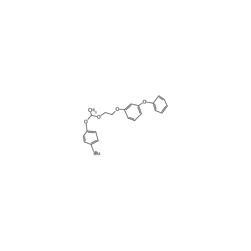 CCC(C)c1ccc(OC(C)OCCOc2cccc(Oc3ccccc3)c2)cc1